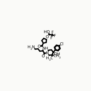 CC1(C)CN(C(=O)C(CCCN)NC(=O)C2CCCC2)CCC1(O)c1ccc(Cl)cc1.O=C(O)C(F)(F)F